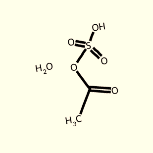 CC(=O)OS(=O)(=O)O.O